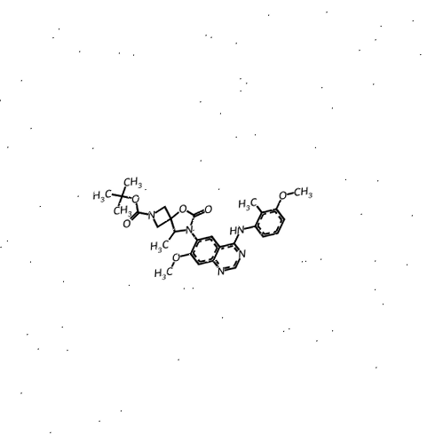 COc1cc2ncnc(Nc3cccc(OC)c3C)c2cc1N1C(=O)OC2(CN(C(=O)OC(C)(C)C)C2)C1C